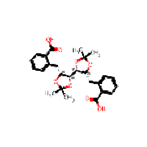 CC1(C)O[C@@H]([C@@H]2OC(C)(C)O[C@@H]2Cc2ccccc2C(=O)O)[C@@H](Cc2ccccc2C(=O)O)O1